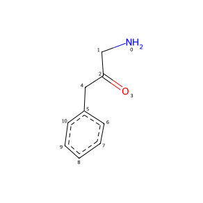 NCC(=O)Cc1ccccc1